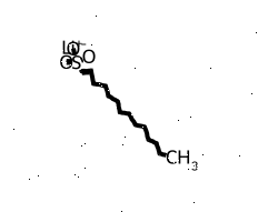 CCCCCCCCCCCCC=CS(=O)(=O)[O-].[Li+]